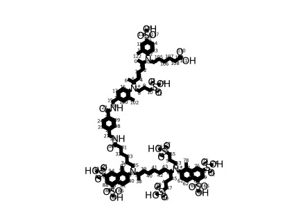 C\C(=C/C=C/C(C)=[N+](\CCCS(=O)(=O)O)c1ccc(CNC(=O)c2ccc(CNC(=O)CCCCCN(/C(C)=C/C=C/C=C/C(CCCS(=O)(=O)O)=[N+](\CCCS(=O)(=O)O)c3ccc4c(S(=O)(=O)O)cc(S(=O)(=O)O)cc4c3C)c3ccc4c(S(=O)(=O)O)cc(S(=O)(=O)O)cc4c3C)cc2)cc1C)N(CCCCCC(=O)O)c1ccc(S(=O)(=O)O)cc1C